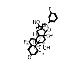 CC12C[C@H](O)[C@@]3(F)[C@@H](C[C@H](F)C4=CC(=O)C=C[C@@]43C)[C@@H]1C[C@H]1CN(c3cccc(F)c3)O[C@]12C(=O)CO